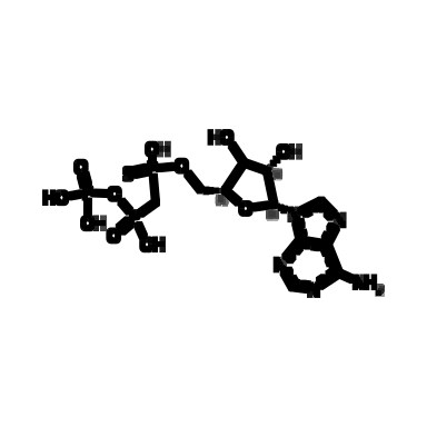 Nc1ncnc2c1ncn2[C@@H]1O[C@H](COP(O)(=S)CP(=O)(O)OP(=O)(O)O)C(O)[C@@H]1O